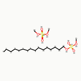 CCCCCCCCCCCCCCCCOS(=O)(=O)OC.COS(=O)(=O)OC